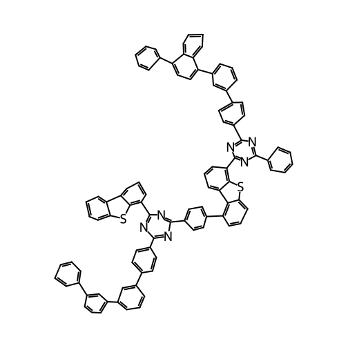 c1ccc(-c2cccc(-c3cccc(-c4ccc(-c5nc(-c6ccc(-c7cccc8sc9c(-c%10nc(-c%11ccccc%11)nc(-c%11ccc(-c%12cccc(-c%13ccc(-c%14ccccc%14)c%14ccccc%13%14)c%12)cc%11)n%10)cccc9c78)cc6)nc(-c6cccc7c6sc6ccccc67)n5)cc4)c3)c2)cc1